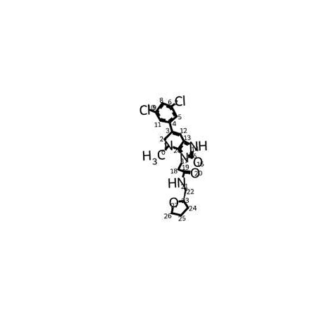 CN1CC(c2cc(Cl)cc(Cl)c2)=Cc2[nH]c(=O)n(CC(=O)NC[C@H]3CCCO3)c21